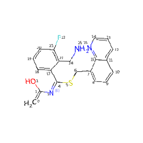 C=C(O)/N=C(/SCc1cccc2cccnc12)c1cccc(F)c1CN